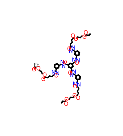 C=CC(=O)OCCCOC(=O)CCCc1nc(-c2cccc(-c3noc(-c4cc(-c5nc(-c6cccc(-c7noc(CCCC(=O)OCCCOC(=O)C=C)n7)c6)no5)cc(-c5nc(-c6cccc(-c7noc(CCCC(=O)OCCCOC(=O)CC)n7)c6)no5)c4)n3)c2)no1